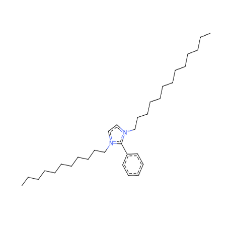 CCCCCCCCCCCCC[n+]1ccn(CCCCCCCCCCC)c1-c1ccccc1